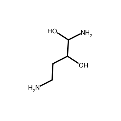 NCCC(O)C(N)O